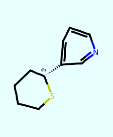 c1cncc([C@H]2CCCCS2)c1